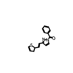 O=C(c1ccccc1)n1ccc(/C=C/C2CC=CS2)n1